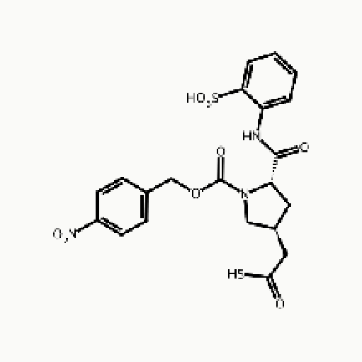 O=C(S)C[C@@H]1C[C@@H](C(=O)Nc2ccccc2S(=O)(=O)O)N(C(=O)OCc2ccc([N+](=O)[O-])cc2)C1